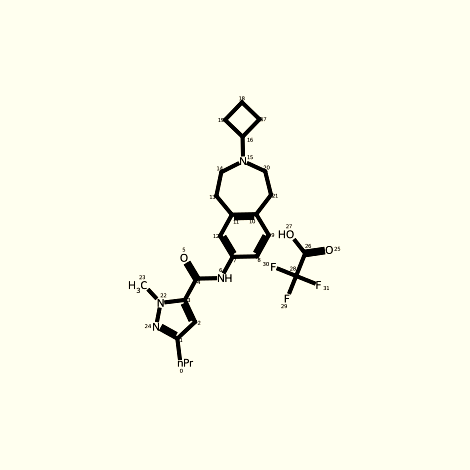 CCCc1cc(C(=O)Nc2ccc3c(c2)CCN(C2CCC2)CC3)n(C)n1.O=C(O)C(F)(F)F